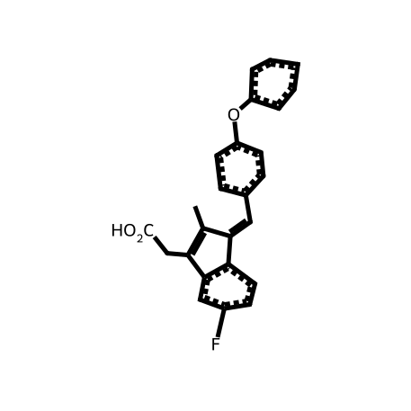 CC1=C(CC(=O)O)c2cc(F)ccc2/C1=C/c1ccc(Oc2ccccc2)cc1